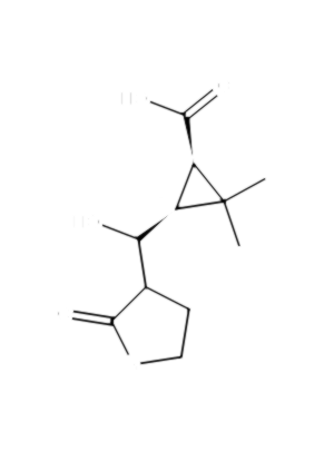 CC1(C)[C@H](C(=O)O)[C@@H]1C(O)C1CCSC1=O